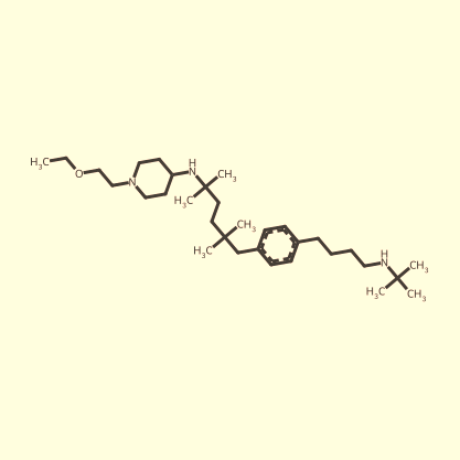 CCOCCN1CCC(NC(C)(C)CCC(C)(C)Cc2ccc(CCCCNC(C)(C)C)cc2)CC1